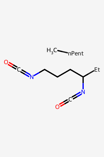 CCC(CCCN=C=O)N=C=O.CCCCCC